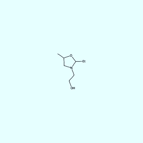 CCC1OC(C)CN1CCO